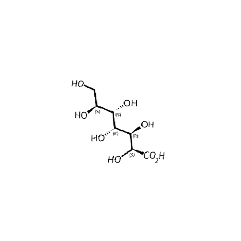 O=C(O)[C@@H](O)[C@H](O)[C@H](O)[C@@H](O)[C@@H](O)CO